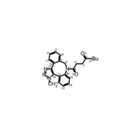 CCC(C)C(=O)CCC(=O)N1Cc2ccccc2-c2nnn(C)c2-c2ccccc21